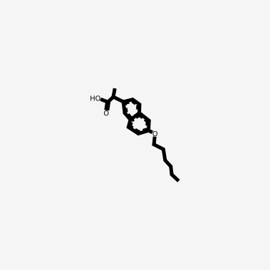 CCCCCCOc1ccc2cc(C(C)C(=O)O)ccc2c1